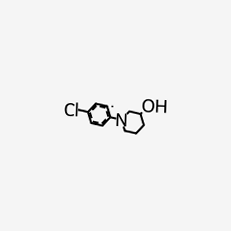 OC1CCCN(c2[c]cc(Cl)cc2)C1